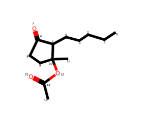 CCCCCC1C(=O)CCC1(C)OC(C)=O